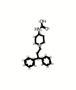 O=C(O)NC1CCN(CCC(c2ccccc2)c2ccccc2)CC1